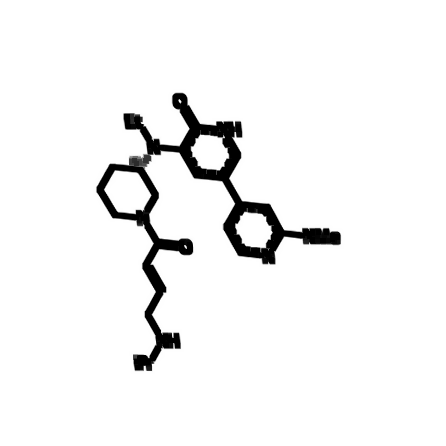 CCN(c1cc(-c2ccnc(NC)c2)c[nH]c1=O)[C@H]1CCCN(C(=O)C=CCNC(C)C)C1